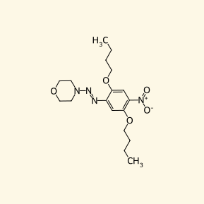 CCCCOc1cc([N+](=O)[O-])c(OCCCC)cc1N=NN1CCOCC1